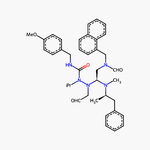 COc1ccc(CNC(=O)N(C(C)C)N(CC=O)[C@@H](CN(C=O)Cc2cccc3ccccc23)N(C)[C@H](C)Cc2ccccc2)cc1